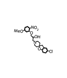 COc1ccc([N+](=O)[O-])c(OC[C@H](O)CN2CCC3(CC2)Cc2cc(Cl)ccc2O3)c1